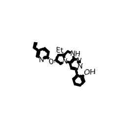 C=Cc1ccc(O[C@H]2CN3c4cc(-c5ccccc5O)nnc4NC[C@]3(CC)C2)nc1